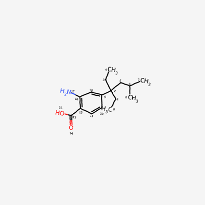 CCC(CC)(CC(C)C)c1ccc(C(=O)O)c(N)c1